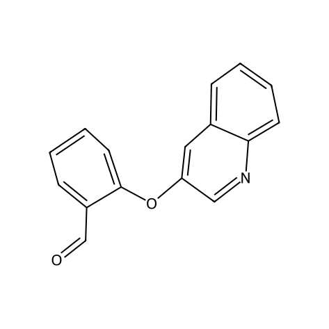 O=Cc1ccccc1Oc1cnc2ccccc2c1